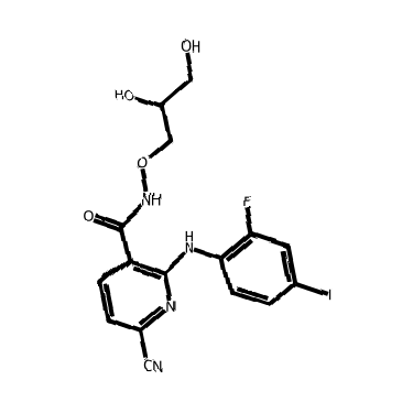 N#Cc1ccc(C(=O)NOCC(O)CO)c(Nc2ccc(I)cc2F)n1